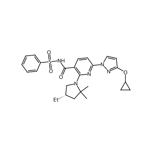 CC[C@@H]1CN(c2nc(-n3ccc(OC4CC4)n3)ccc2C(=O)NS(=O)(=O)c2ccccc2)C(C)(C)C1